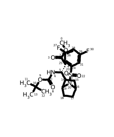 COC(=O)C[C@@H](NC(=O)OC(C)(C)C)C1CC2CCC1N2S(=O)(=O)c1cc(F)cc(F)c1